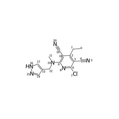 CCc1c(C#N)c(Cl)nc(N(C)Cc2cn[nH]c2)c1C#N